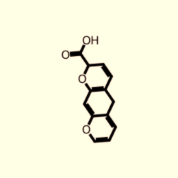 O=C(O)C1C=CC2=C(C=C3OC=CC=C3C2)O1